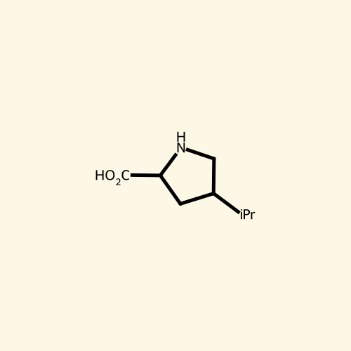 CC(C)C1CNC(C(=O)O)C1